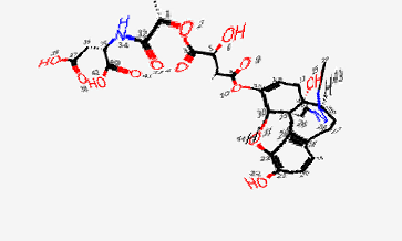 C[C@H](OC(=O)[C@@H](O)CC(=O)OC1=CC[C@@]2(O)[C@H]3Cc4ccc(O)c5c4[C@@]2(CCN3C)[C@H]1O5)C(=O)N[C@@H](CC(=O)O)C(=O)O